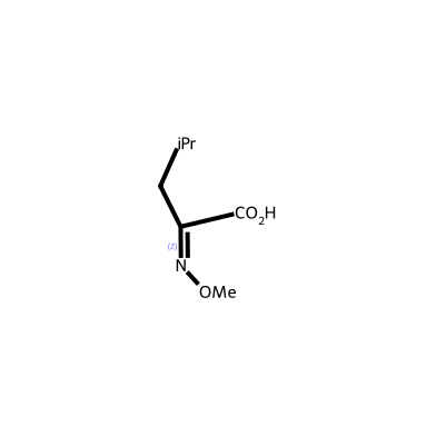 CO/N=C(/CC(C)C)C(=O)O